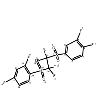 O=S(=O)(c1ccc(F)c(F)c1)C(F)(F)C(F)(F)S(=O)(=O)c1ccc(F)cc1F